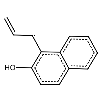 C=C[CH]c1c(O)ccc2ccccc12